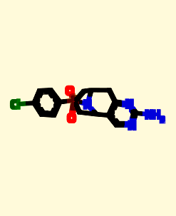 Nc1ncc2c(n1)CC1CCCC2N1S(=O)(=O)c1ccc(Cl)cc1